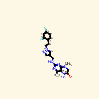 Cc1nc(NCc2cnn(CCc3ccc(F)cc3F)c2)nc2c1NC(=O)CN2C